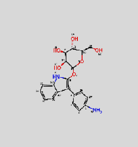 Nc1ccc(-c2c(OC3O[C@H](CO)[C@@H](O)[C@H](O)[C@@H]3O)[nH]c3ccccc23)cc1